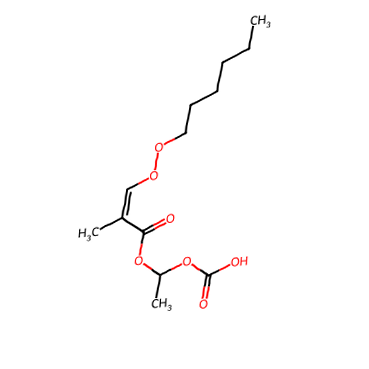 CCCCCCOOC=C(C)C(=O)OC(C)OC(=O)O